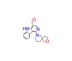 O=Cc1cnc(N2CCCC3(CCOC3)C2)c2c1[nH]c1ccccc12